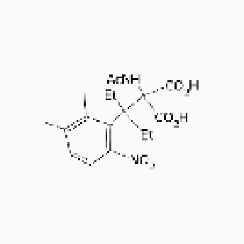 CCC(CC)(c1c([N+](=O)[O-])ccc(C)c1C)C(NC(C)=O)(C(=O)O)C(=O)O